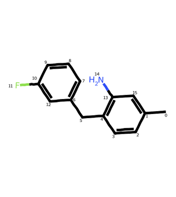 Cc1ccc(Cc2cccc(F)c2)c(N)c1